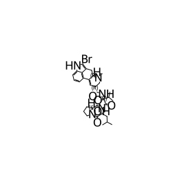 CC(C)CC1C(=O)N2CCC[C@H]2C2(O)O[C@](NC(=O)[C@@H]3C=C4c5cccc6[nH]c(Br)c(c56)C[C@H]4N(C)C3)(C(C)C)C(=O)N12